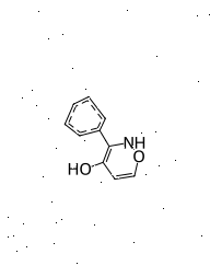 OC1=C(c2ccccc2)NOC=C1